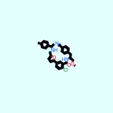 COCC(Cc1ccc(C#N)cc1)NC(=O)c1cc(-c2ccc(CNC(C)c3ccc(C)cc3)o2)ccc1Cl